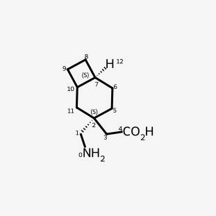 NC[C@@]1(CC(=O)O)CC[C@@H]2CCC2C1